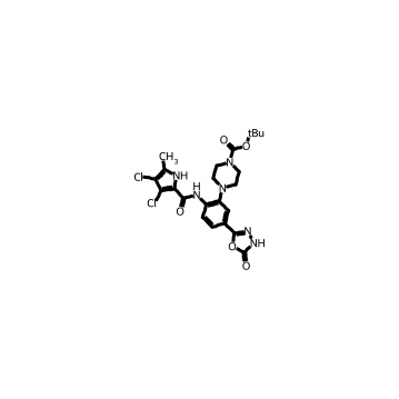 Cc1[nH]c(C(=O)Nc2ccc(-c3n[nH]c(=O)o3)cc2N2CCN(C(=O)OC(C)(C)C)CC2)c(Cl)c1Cl